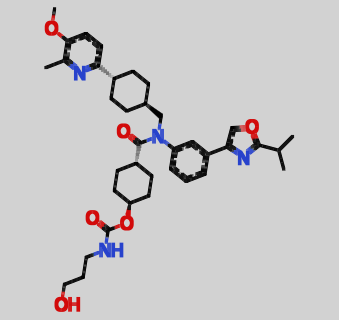 COc1ccc([C@H]2CC[C@H](CN(c3cccc(-c4coc(C(C)C)n4)c3)C(=O)[C@H]3CC[C@H](OC(=O)NCCCO)CC3)CC2)nc1C